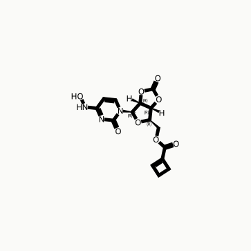 O=C1O[C@@H]2[C@H](O1)[C@@H](COC(=O)C1=CCC1)O[C@H]2n1ccc(NO)nc1=O